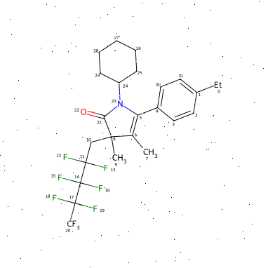 CCc1ccc(C2=C(C)C(C)(CC(F)(F)C(F)(F)C(F)(F)C(F)(F)F)C(=O)N2C2CCCCC2)cc1